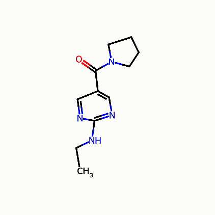 CCNc1ncc(C(=O)N2CCCC2)cn1